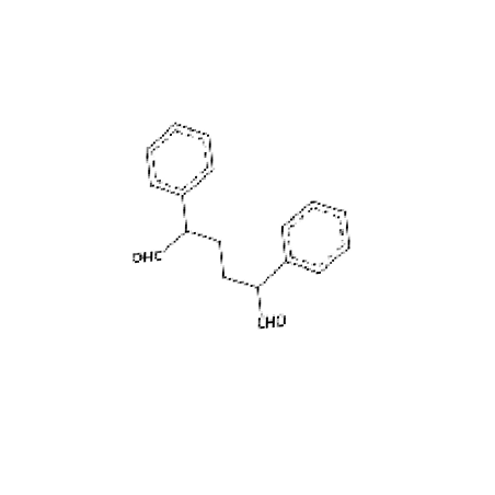 O=CC(CCC(C=O)c1ccccc1)c1ccccc1